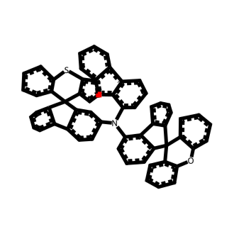 c1ccc2c(c1)Oc1ccccc1C21c2ccccc2-c2c(N(c3ccc4c(c3)C3(c5ccccc5Sc5ccccc53)c3ccccc3-4)c3cccc4c3oc3ccccc34)cccc21